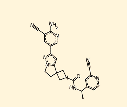 C[C@@H](NC(=O)N1CC2(CCn3nc(-c4cnc(N)c(C#N)c4)cc32)C1)c1ccnc(C#N)c1